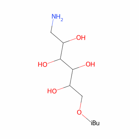 CCC(C)OCC(O)C(O)C(O)C(O)CN